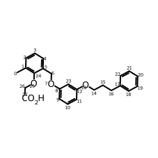 Cc1cccc(COc2cccc(OCCCc3ccccc3)c2)c1OCC(=O)O